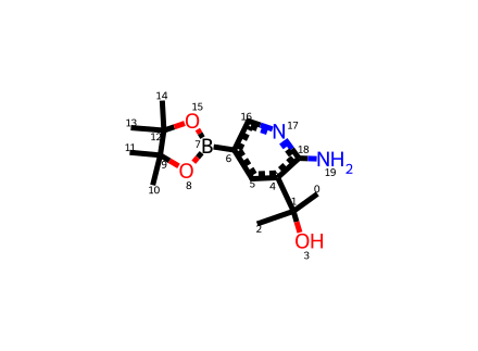 CC(C)(O)c1cc(B2OC(C)(C)C(C)(C)O2)cnc1N